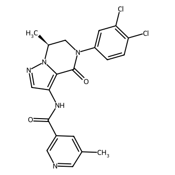 Cc1cncc(C(=O)Nc2cnn3c2C(=O)N(c2ccc(Cl)c(Cl)c2)C[C@@H]3C)c1